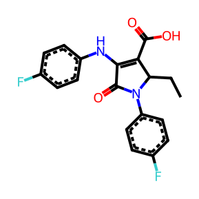 CCC1C(C(=O)O)=C(Nc2ccc(F)cc2)C(=O)N1c1ccc(F)cc1